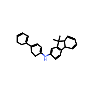 CC1(C)c2cc(NC3=CC=C(C4=CC=CCC4)CC3)ccc2C2C=CC=CC21